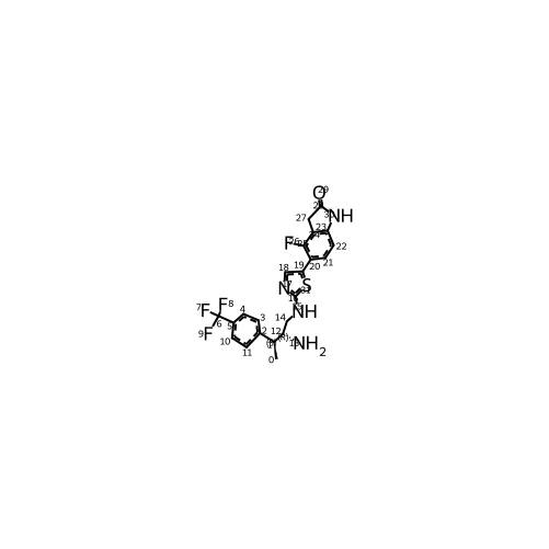 C[C@@H](c1ccc(C(F)(F)F)cc1)[C@@H](N)CNc1ncc(-c2ccc3c(c2F)CC(=O)N3)s1